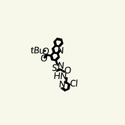 CC(C)(C)OC(=O)c1cc(-c2nc(C(=O)NCc3ncccc3Cl)cs2)cc2nc3ccccc3cc12